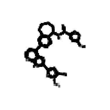 CCc1cc(-c2nc3c(-c4ccc5c(c4)CCCCC5NC(=O)c4nnc(C(C)(C)C)o4)ccnc3[nH]2)nn1C